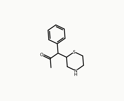 CC(=O)C(c1ccccc1)C1CNCCS1